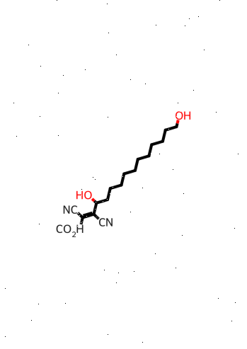 N#CC(C(=O)O)=C(C#N)C(O)CCCCCCCCCCCO